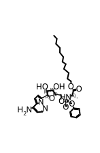 CCCCCCCCCCCCOC(=O)[C@H](C)NP(=O)(OC[C@H]1O[C@@H](c2ccc3c(N)ccnn23)[C@H](O)[C@@H]1O)Oc1ccccc1